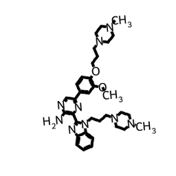 COc1cc(-c2cnc(N)c(-c3nc4ccccc4n3CCCN3CCN(C)CC3)n2)ccc1OCCCN1CCN(C)CC1